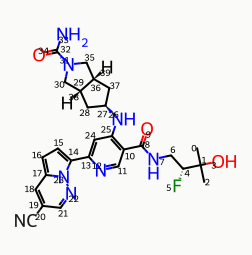 CC(C)(O)[C@H](F)CNC(=O)c1cnc(-c2ccc3cc(C#N)cnn23)cc1N[C@H]1C[C@@H]2CN(C(N)=O)C[C@@H]2C1